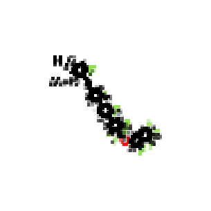 COc1cc(C)cc(F)c1C#Cc1ccc(-c2ccc(-c3cc(F)c(C(F)(F)Oc4cc(F)c5c(F)c(F)c(F)cc5c4)c(F)c3)c(F)c2)c(F)c1